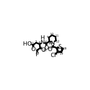 O=C(O)CC(NC(=O)C1CCCCN1C(=O)c1sccc1Cl)C(=O)CF